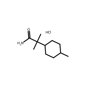 CC1CCC(C(C)(C)C(N)=O)CC1.Cl